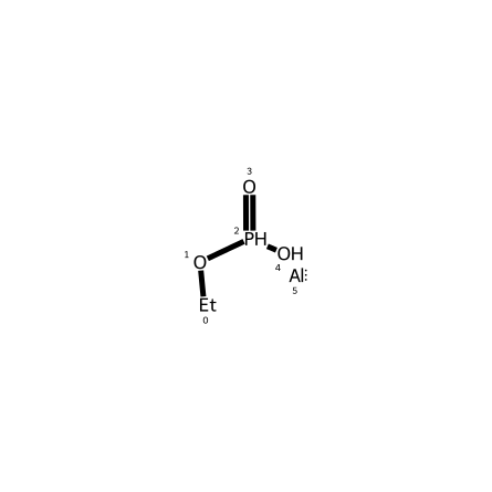 CCO[PH](=O)O.[Al]